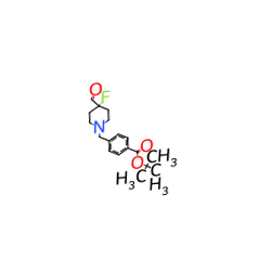 CC(C)(C)OC(=O)c1ccc(CN2CCC(F)(C=O)CC2)cc1